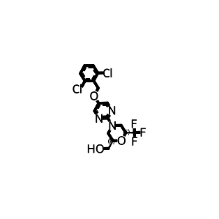 OC[C@H]1CN(c2ncc(OCc3c(Cl)cccc3Cl)cn2)C[C@@H](C(F)(F)F)O1